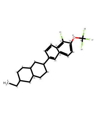 CCC1CCC2CC(c3ccc4c(F)c(OC(F)(F)F)ccc4c3)CCC2C1